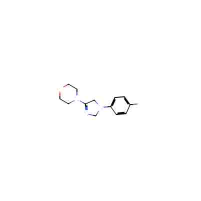 Clc1ccc(N2CN=C(N3CCOCC3)C2)cc1